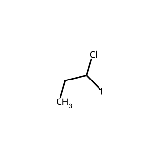 CCC(Cl)I